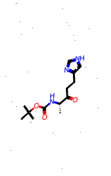 C[C@H](NC(=O)OC(C)(C)C)C(=O)CCc1c[nH]cn1